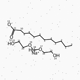 CCCCCCCCCCCC(=O)[O-].OCCONOCCO.[Na+]